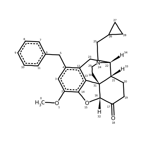 COc1cc(Cc2ccccc2)c2c3c1O[C@H]1C(=O)CC[C@H]4[C@@H](C2)N(CC2CC2)CC[C@]314